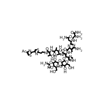 CC(=O)c1csc(-c2csc(CCNC(=O)C(NC(=O)C(C)C(O)C(C)NC(=O)C(NC(=O)c3nc(C(CC(N)=O)NCC(N)C(N)=O)nc(N)c3C)C(OC3OC(CO)C(O)C(O)C3OC3OC(CO)C(O)C(OC(N)=O)C3O)c3c[nH]cn3)C(C)O)n2)n1